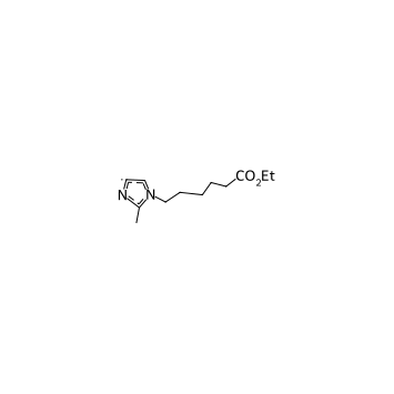 CCOC(=O)CCCCCn1c[c]nc1C